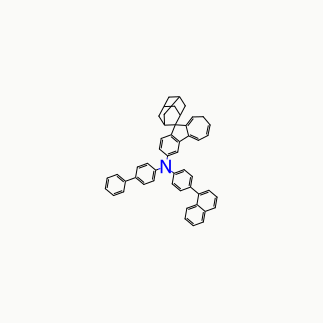 C1=CCC=C2C(=C1)c1cc(N(c3ccc(-c4ccccc4)cc3)c3ccc(-c4cccc5ccccc45)cc3)ccc1C21C2CC3CC(C2)CC1C3